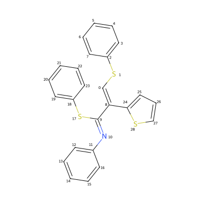 C(Sc1ccccc1)=C(C(=Nc1ccccc1)Sc1ccccc1)c1cccs1